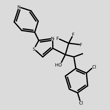 CC(c1ccc(Cl)cc1Cl)C(O)(c1csc(-c2ccncc2)n1)C(F)(F)F